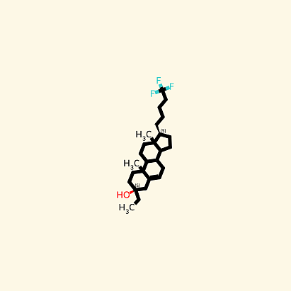 CC[C@]1(O)CCC2(C)C(=CCC3C2CCC2(C)C3CC[C@@H]2CCCCC(F)(F)F)C1